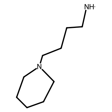 [NH]CCCCN1CCCCC1